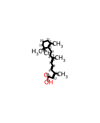 CC1=C(CC/C(C)=C/C=C/C(C)=C\C(=O)O)C(C)(C)CCC1